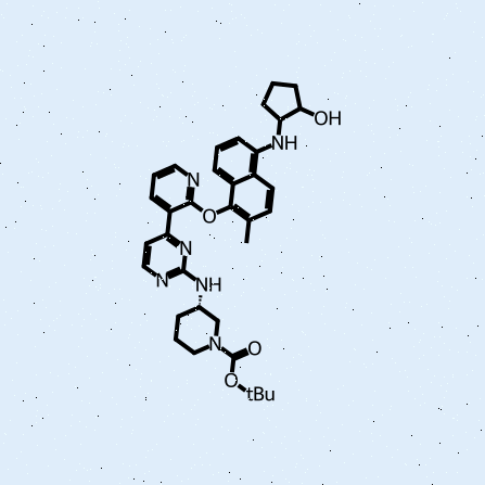 Cc1ccc2c(NC3CCCC3O)cccc2c1Oc1ncccc1-c1ccnc(N[C@H]2CCCN(C(=O)OC(C)(C)C)C2)n1